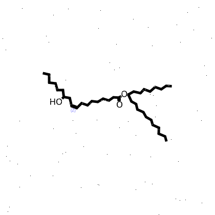 CCCCCCCCCCCC(CCCCCCCC)OC(=O)CCCCCCC/C=C\CC(O)CCCCCC